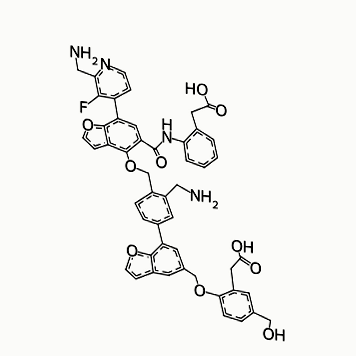 NCc1cc(-c2cc(COc3ccc(CO)cc3CC(=O)O)cc3ccoc23)ccc1COc1c(C(=O)Nc2ccccc2CC(=O)O)cc(-c2ccnc(CN)c2F)c2occc12